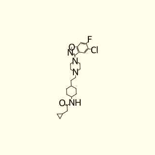 O=C(CC1CC1)NC1CCC(CCN2CCN(c3noc4cc(F)c(Cl)cc34)CC2)CC1